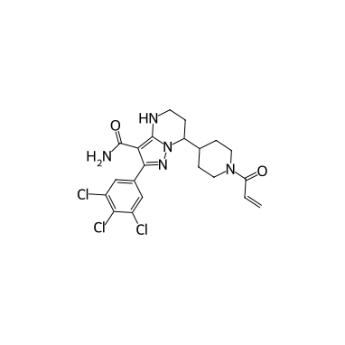 C=CC(=O)N1CCC(C2CCNc3c(C(N)=O)c(-c4cc(Cl)c(Cl)c(Cl)c4)nn32)CC1